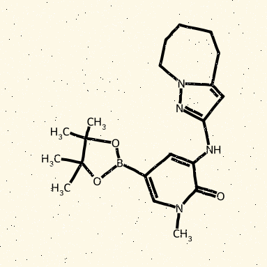 Cn1cc(B2OC(C)(C)C(C)(C)O2)cc(Nc2cc3n(n2)CCCCC3)c1=O